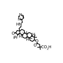 CC(C)C1=C2[C@H]3CC[C@@H]4[C@@]5(C)CC[C@H](OC(=O)CC(C)(C)C(=O)O)C(C)(C)[C@@H]5CC[C@@]4(C)[C@]3(C)CCC2(CCNCc2ccncn2)CC1=O